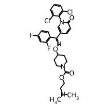 CN(C)CCOC(=O)N1CCC(ON=C(c2ccc(=O)n(-c3c(Cl)cccc3Cl)c2)c2ccc(F)cc2F)CC1